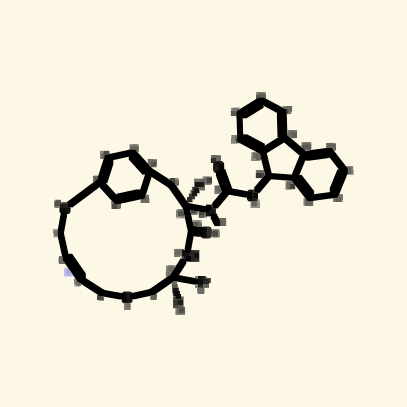 CC(C)[C@H]1COC/C=C\COc2ccc(cc2)C[C@@H](N(C)C(=O)OC2c3ccccc3-c3ccccc32)C(=O)N1